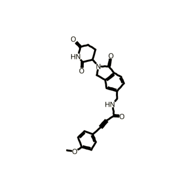 COc1ccc(C#CC(=O)NCc2ccc3c(c2)CN(C2CCC(=O)NC2=O)C3=O)cc1